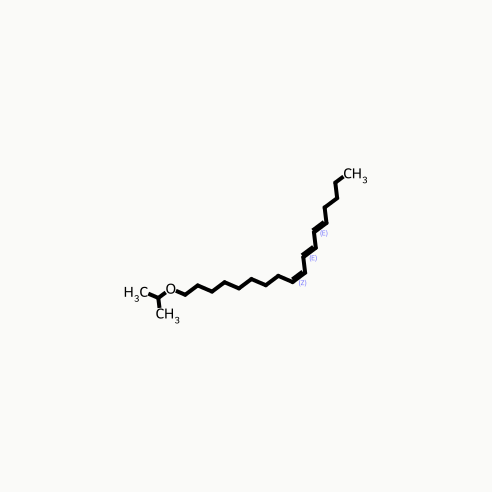 CCCC/C=C/C=C/C=C\CCCCCCCCOC(C)C